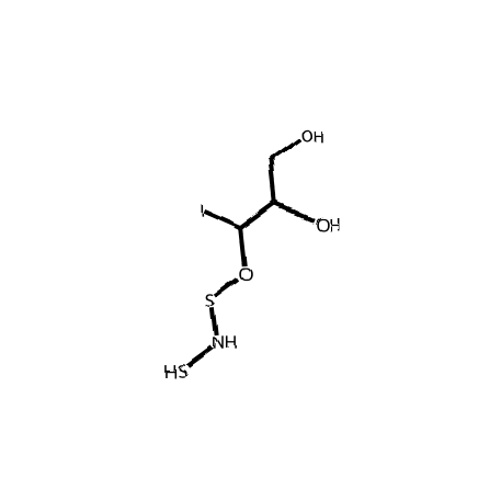 OCC(O)C(I)OSNS